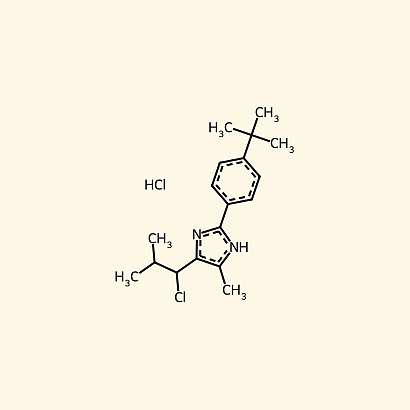 Cc1[nH]c(-c2ccc(C(C)(C)C)cc2)nc1C(Cl)C(C)C.Cl